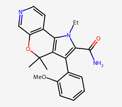 CCn1c(C(N)=O)c(-c2ccccc2OC)c2c1-c1ccncc1OC2(C)C